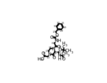 CC(C)(C)OC(NC=O)[C@H]1C(=O)N(CC(=O)O)CCN1C(=O)CNC(=O)OCc1ccccc1